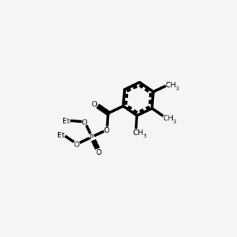 CCOP(=O)(OCC)OC(=O)c1ccc(C)c(C)c1C